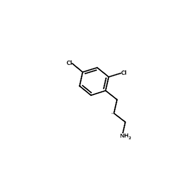 NC[CH]Cc1ccc(Cl)cc1Cl